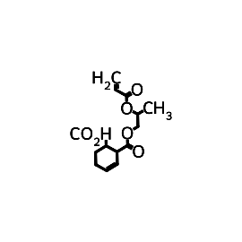 C=CC(=O)OC(C)COC(=O)C1C=CCCC1C(=O)O